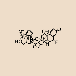 C[C@@H]1C[C@H]2C3C[C@H](F)C4=CC(=O)C=CC4(C)C3(F)C(O)C[C@]2(C)[C@@]1(OC(=O)c1cccc([N+](=O)[O-])c1)C(=O)NCC(O)CO